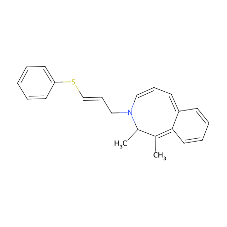 CC1=c2ccccc2=CC=CN(CC=CSc2ccccc2)C1C